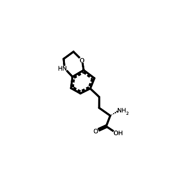 N[C@@H](CCc1ccc2c(c1)OCCN2)C(=O)O